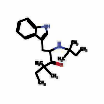 CCC(C)(C)NC(Cc1c[nH]c2ccccc12)C(=O)C(C)(C)CC